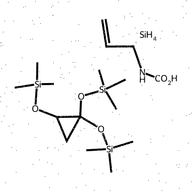 C=CCNC(=O)O.C[Si](C)(C)OC1CC1(O[Si](C)(C)C)O[Si](C)(C)C.[SiH4]